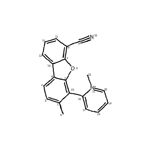 Cc1ccc2c(oc3c(C#N)cccc32)c1-c1cccc[n+]1C